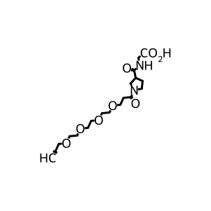 C#CCOCCOCCOCCOCCC(=O)N1CCC(C(=O)NCC(=O)O)C1